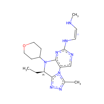 CC[C@@H]1c2nnc(C)n2-c2cnc(N/C=C\NC)nc2N1C1CCOCC1